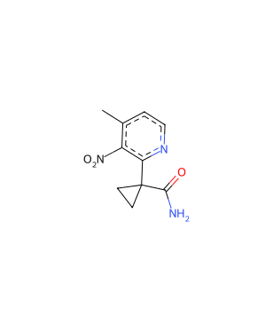 Cc1ccnc(C2(C(N)=O)CC2)c1[N+](=O)[O-]